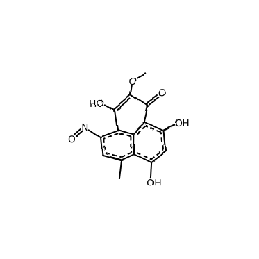 COC1=C(O)c2c(N=O)cc(C)c3c(O)cc(O)c(c23)C1=O